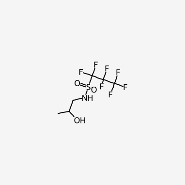 CC(O)CNS(=O)(=O)C(F)(F)C(F)(F)C(F)(F)F